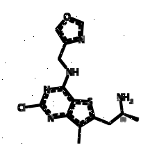 Cc1c(C[C@H](C)N)sc2c(NCc3cocn3)nc(Cl)nc12